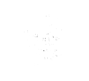 CCOC(=O)c1ccc(Cl)nc1NC[C@H](NC(=O)OC(C)(C)C)c1cccc(Cl)c1